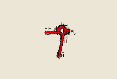 CNC(=O)COCC(=O)NCCOCCOCCOCCNC(=O)[C@@H]1CSCC(=O)N[C@@H](CCCCNC(=O)COCC(=O)NCCOCCOCCOCCOCCOCCNC(=O)CONC(=O)OC(C)(C)C)C(=O)N[C@@H](CS)C(=O)N[C@@H](CCCNC(=N)N)C(=O)NCC(=O)N[C@@H](CC(=O)O)C(=O)N[C@@H](CS)C(=O)N[C@@H](Cc2ccccc2)C(=O)N1